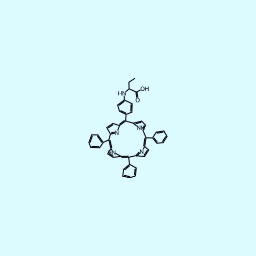 CCC(Nc1ccc(-c2c3nc(c(-c4ccccc4)c4ccc([nH]4)c(-c4ccccc4)c4nc(c(-c5ccccc5)c5ccc2[nH]5)C=C4)C=C3)cc1)C(=O)O